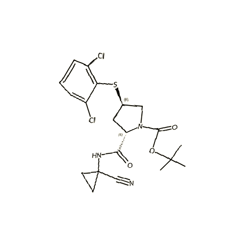 CC(C)(C)OC(=O)N1C[C@H](Sc2c(Cl)cccc2Cl)C[C@H]1C(=O)NC1(C#N)CC1